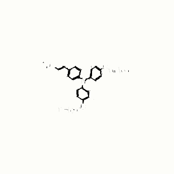 CCCCCCOc1ccc(N(c2ccc(/C=C/C#N)cc2)c2ccc(OCCCCCC)cc2)cc1